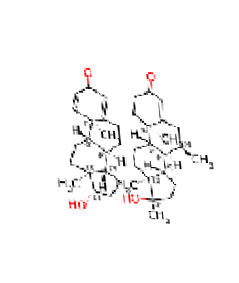 C[C@@H]1CC2=CC(=O)CC[C@]2(C)[C@H]2CC[C@@]3(C)[C@@H](CC[C@]3(C)O)[C@H]12.C[C@]12CC[C@H]3[C@@H](CCC4=CC(=O)C=C[C@@]43C)[C@@H]1CC[C@@H]2O